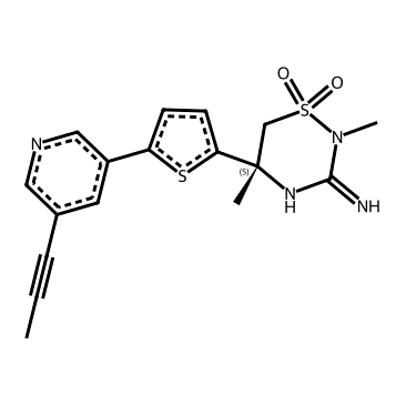 CC#Cc1cncc(-c2ccc([C@]3(C)CS(=O)(=O)N(C)C(=N)N3)s2)c1